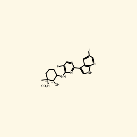 C[C@]1(C(=O)O)CCCC(Nc2nc(-c3c[nH]c4ncc(Cl)cc34)ncc2F)[C@H]1O